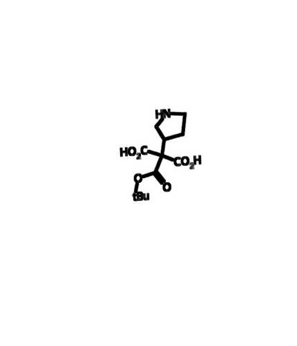 CC(C)(C)OC(=O)C(C(=O)O)(C(=O)O)C1CCNC1